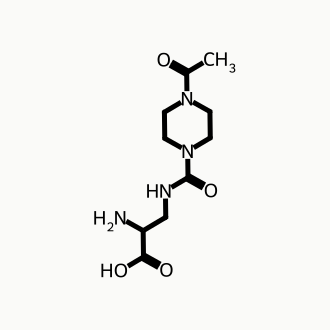 CC(=O)N1CCN(C(=O)NCC(N)C(=O)O)CC1